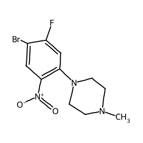 CN1CCN(c2cc(F)c(Br)cc2[N+](=O)[O-])CC1